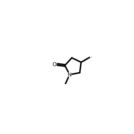 [CH2]C1CC(=O)N(C)C1